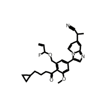 C=CC(F)OCc1cc(-c2cnc3cc(C(C)C#N)ccn23)cc(OC)c1C(=O)CCCC1CC1